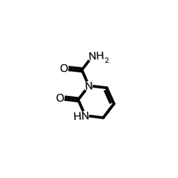 NC(=O)N1C=CCNC1=O